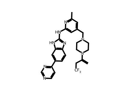 C=C(CC(F)(F)F)N1CCN(Cc2cc(C)nc(Nc3nc4ccc(-c5ccncn5)cc4[nH]3)c2)CC1